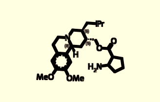 COc1cc2c(cc1OC)[C@H]1C[C@@H](COC(=O)C3CCCC3N)[C@H](CC(C)C)CN1CC2